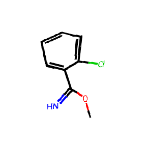 COC(=N)c1ccccc1Cl